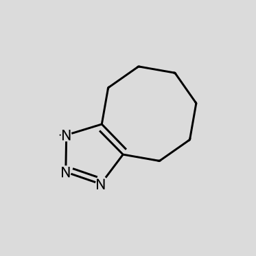 C1CCCC2=C(CC1)[N]N=N2